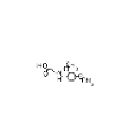 COc1ccc(CNCCC(=O)O)c(OC)c1